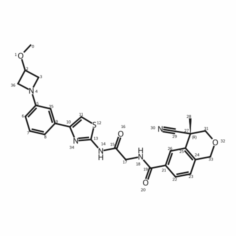 COC1CN(c2cccc(-c3csc(NC(=O)CNC(=O)c4ccc5c(c4)[C@](C)(C#N)COC5)n3)c2)C1